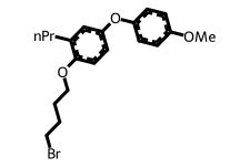 CCCc1cc(Oc2ccc(OC)cc2)ccc1OCCCCBr